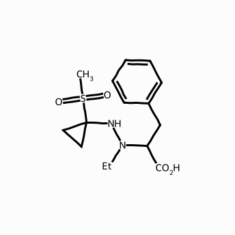 CCN(NC1(S(C)(=O)=O)CC1)C(Cc1ccccc1)C(=O)O